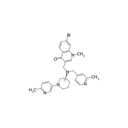 Cc1ccc(N2CCC[C@H](N(Cc3ccnc(C)c3)Cc3cn(C)c4cc(Br)ccc4c3=O)C2)cn1